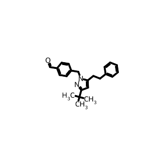 CC(C)(C)c1cc(CCc2ccccc2)n(Cc2ccc(C=O)cc2)n1